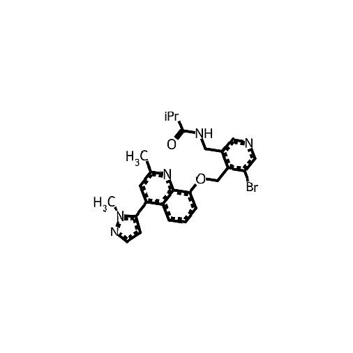 Cc1cc(-c2ccnn2C)c2cccc(OCc3c(Br)cncc3CNC(=O)C(C)C)c2n1